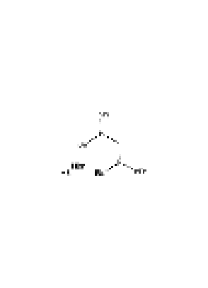 Br.Br.CCCP(CP(CCC)C(C)CC)C(C)CC